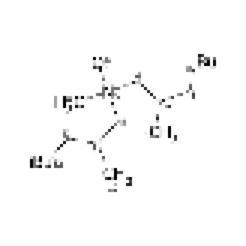 CCC(C)CC(C)C[N+](C)([O-])CC(C)CC(C)CC